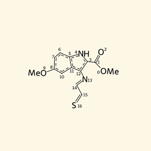 COC(=O)c1[nH]c2ccc(OC)cc2c1N=CC=S